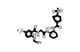 CC(C)CNc1ccc(C(F)(F)F)cc1C(=O)NCC(=O)N[C@@H]1CCCC[C@@H]1NC(=O)c1ccc(S(C)(=O)=O)cc1